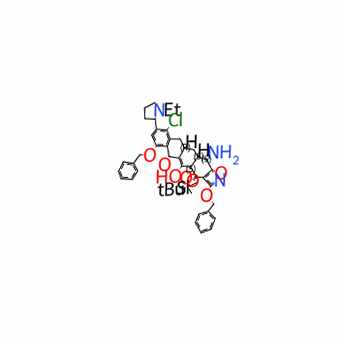 CCN1CCCC1c1cc(OCc2ccccc2)c2c(c1Cl)C[C@H]1C[C@H]3[C@H](N)c4onc(OCc5ccccc5)c4C(=O)[C@@]3(O[Si](C)(C)C(C)(C)C)C(O)=C1C2=O